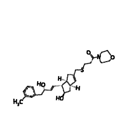 Cc1cccc(C[C@H](O)/C=C/[C@@H]2[C@H]3CC(CSCCC(=O)N4CCOCC4)=C[C@H]3C[C@H]2O)c1